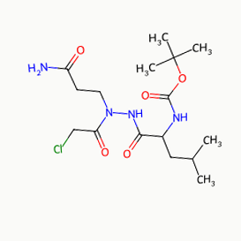 CC(C)CC(NC(=O)OC(C)(C)C)C(=O)NN(CCC(N)=O)C(=O)CCl